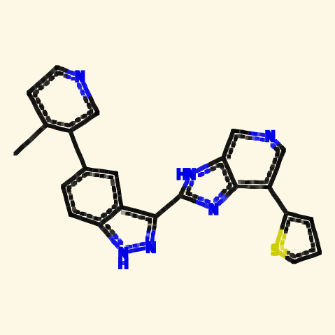 Cc1ccncc1-c1ccc2[nH]nc(-c3nc4c(-c5cccs5)cncc4[nH]3)c2c1